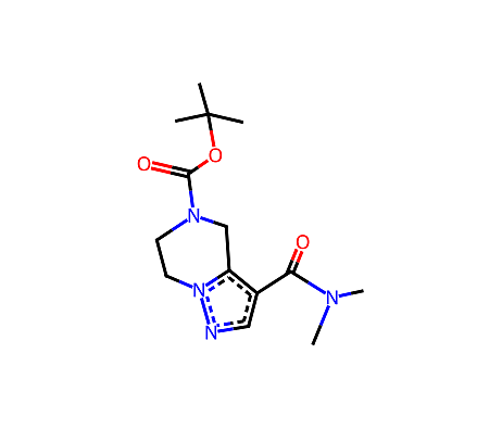 CN(C)C(=O)c1cnn2c1CN(C(=O)OC(C)(C)C)CC2